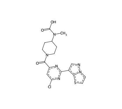 CN(C(=O)O)C1CCN(C(=O)c2cc(Cl)nc(-c3cnn4ccsc34)n2)CC1